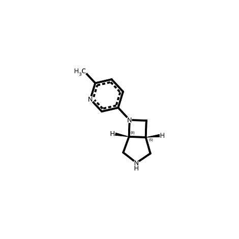 Cc1ccc(N2C[C@@H]3CNC[C@@H]32)cn1